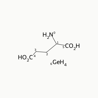 NC(CCC(=O)O)C(=O)O.[GeH4]